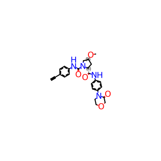 C#Cc1ccc(NC(=O)N2C[C@H](OC)C[C@@H]2C(=O)Nc2ccc(N3CCOCC3=O)cc2)cc1